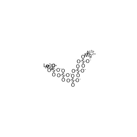 O=S(=O)([O-])[O-].O=S(=O)([O-])[O-].O=S(=O)([O-])[O-].O=S(=O)([O-])[O-].O=S(=O)([O-])[O-].[Al+3].[La+3].[Mg+2].[Mg+2]